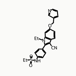 CCn1c(-c2ccc(NS(=O)(=O)CC)cc2)c(C#N)c2ccc(OCc3cccnc3)cc21